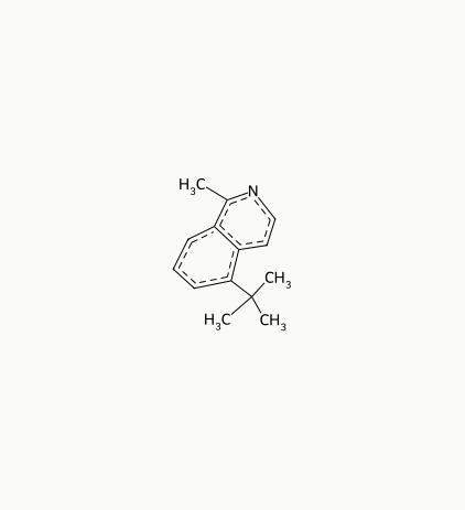 Cc1nccc2c(C(C)(C)C)cccc12